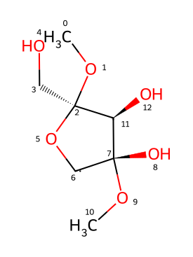 CO[C@]1(CO)O[CH][C@@](O)(OC)[C@@H]1O